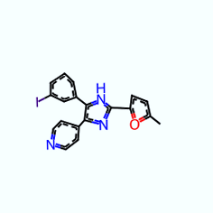 Cc1ccc(-c2nc(-c3ccncc3)c(-c3cccc(I)c3)[nH]2)o1